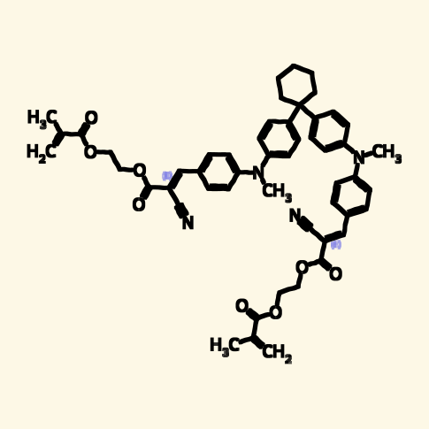 C=C(C)C(=O)OCCOC(=O)/C(C#N)=C/c1ccc(N(C)c2ccc(C3(c4ccc(N(C)c5ccc(/C=C(\C#N)C(=O)OCCOC(=O)C(=C)C)cc5)cc4)CCCCC3)cc2)cc1